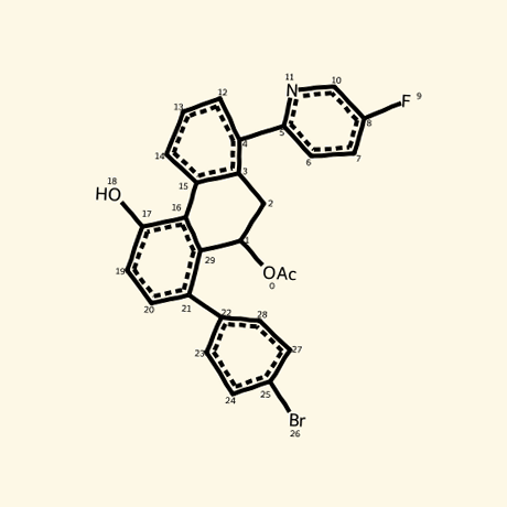 CC(=O)OC1Cc2c(-c3ccc(F)cn3)cccc2-c2c(O)ccc(-c3ccc(Br)cc3)c21